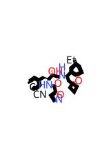 CCc1ccc2c(c1)[C@@H](NC[C@@H](O)[C@H](Cc1cccc(C#N)c1)NC(=O)c1ccno1)CC1(CCC1)O2